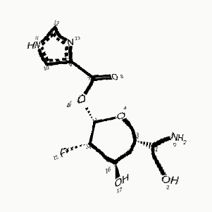 NC(O)[C@H]1O[C@@H](OC(=O)c2c[nH]cn2)[C@@H](F)[C@@H]1O